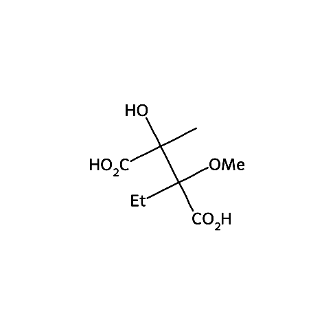 CCC(OC)(C(=O)O)C(C)(O)C(=O)O